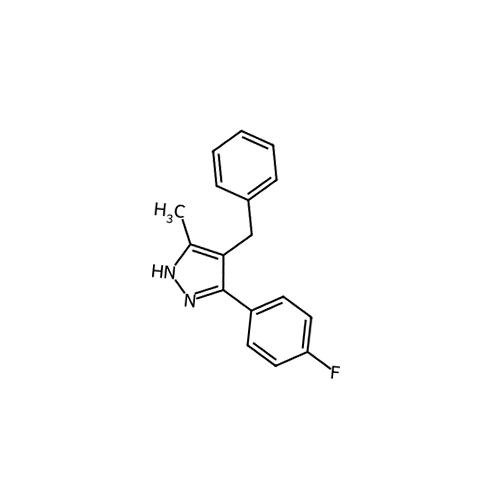 Cc1[nH]nc(-c2ccc(F)cc2)c1Cc1ccccc1